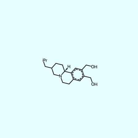 CC(C)CC1CC[C@@H]2c3cc(CO)c(CO)cc3CCN2C1